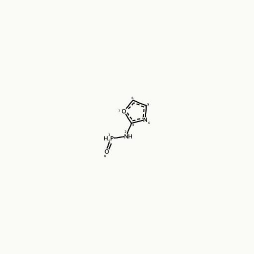 O=[PH2]Nc1ncco1